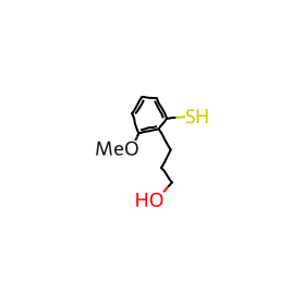 COc1cccc(S)c1CCCO